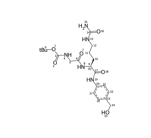 CC(C)(C)OC(=O)NCC(=O)N[C@@H](CCCNC(N)=O)C(=O)Nc1ccc(CO)cc1